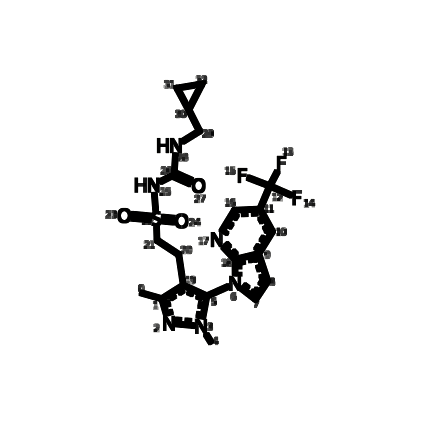 Cc1nn(C)c(-n2ccc3cc(C(F)(F)F)cnc32)c1CCS(=O)(=O)NC(=O)NCC1CC1